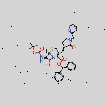 CC(C)(C)OC(=O)N[C@@H]1C(=O)N2C(C(=O)OC(c3ccccc3)c3ccccc3)=C(C=C3CCN(Cc4ccccn4)C3=O)CS[C@H]12